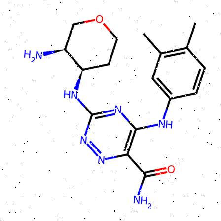 Cc1ccc(Nc2nc(N[C@@H]3CCOC[C@@H]3N)nnc2C(N)=O)cc1C